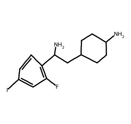 NC1CCC(CC(N)c2ccc(I)cc2F)CC1